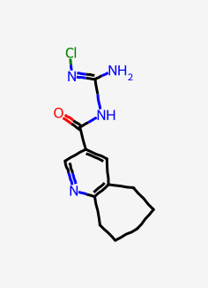 NC(=NCl)NC(=O)c1cnc2c(c1)CCCCC2